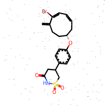 C=C1CC[C@@H](Oc2ccc(C3CC(=O)NS(=O)(=O)C3)cc2)C/C=C\C=C/1Br